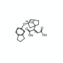 CN1C2CCC1(/C(=C\C(=O)O)C(=O)O)CC(Oc1ccc3c(c1)CCC3)C2